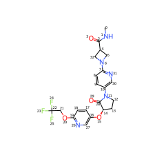 CNC(=O)C1CN(c2ccc(N3CC[C@@H](Oc4ccc(OCC(F)(F)F)nc4)C3=O)cn2)C1